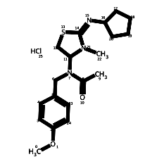 COc1ccc(CN(C(C)=O)C2CSC(=NC3CCCC3)N2C)cc1.Cl